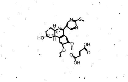 CCOc1cc2c(cc1OC)C(c1cnc(SC)nc1)=N[C@@H]1CC[C@@H](O)C[C@H]21.O=C(O)C=CC(=O)O